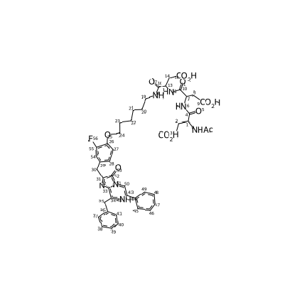 CC(=O)NC(CC(=O)O)C(=O)NC(CC(=O)O)C(=O)NC(CC(=O)O)C(=O)NCCCCCCOc1ccc(Cc2nc3c(Cc4ccccc4)[nH]c(-c4ccccc4)cn-3c2=O)cc1F